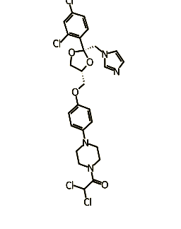 O=C(C(Cl)Cl)N1CCN(c2ccc(OC[C@@H]3CO[C@@](Cn4ccnc4)(c4ccc(Cl)cc4Cl)O3)cc2)CC1